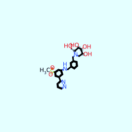 CS(=O)(=O)c1cc(NCc2cccc(CN3C[C@H](O)[C@@H](O)[C@H](O)[C@H]3CO)c2)cc(-c2cccnn2)c1